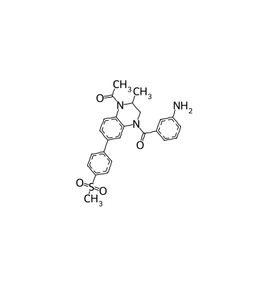 CC(=O)N1c2ccc(-c3ccc(S(C)(=O)=O)cc3)cc2N(C(=O)c2cccc(N)c2)CC1C